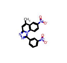 Cc1cc2nnc(-c3cccc([N+](=O)[O-])c3)n2c2ccc([N+](=O)[O-])cc12